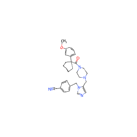 COc1cccc(C2(C(=O)N3CCN(Cc4cncn4Cc4ccc(C#N)cc4)CC3)CCCC2)c1